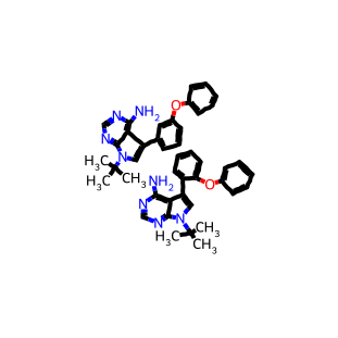 CC(C)(C)n1cc(-c2cccc(Oc3ccccc3)c2)c2c(N)ncnc21.CC(C)(C)n1cc(-c2ccccc2Oc2ccccc2)c2c(N)ncnc21